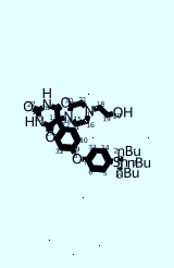 CCC[CH2][Sn]([CH2]CCC)([CH2]CCC)[c]1ccc(Oc2ccc(C3(N4CCN(CCO)CC4)C(=O)NC(=O)NC3=O)cc2)cc1